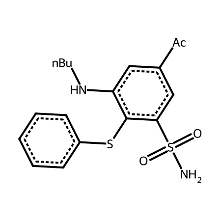 CCCCNc1cc(C(C)=O)cc(S(N)(=O)=O)c1Sc1ccccc1